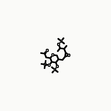 CC(=O)CC1OCC(CC2OC2C(C)C(C)O[Si](C)(C)C)C(O[Si](C)(C)C)C1O[Si](C)(C)C